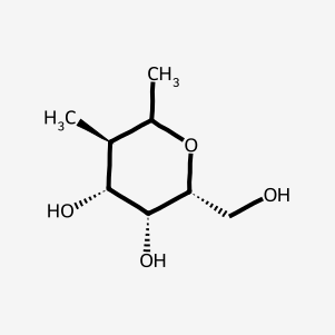 CC1O[C@H](CO)[C@H](O)[C@H](O)[C@H]1C